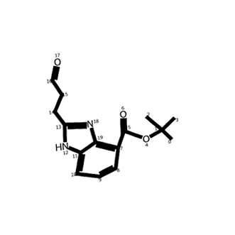 CC(C)(C)OC(=O)c1cccc2[nH]c(CCC=O)nc12